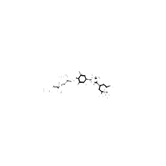 COc1cc(-c2nc(-c3cc(C)c(OCC(O)CNC(=O)CO)c(C)c3)no2)cc(C)n1